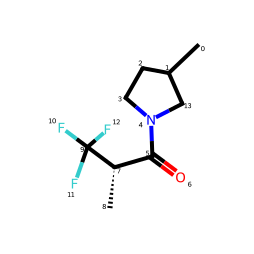 CC1CCN(C(=O)[C@H](C)C(F)(F)F)C1